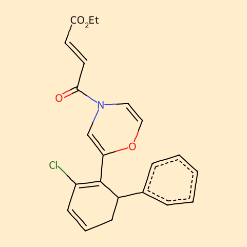 CCOC(=O)/C=C/C(=O)N1C=COC(C2=C(Cl)C=CCC2c2ccccc2)=C1